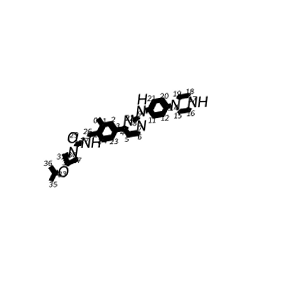 Cc1cc(-c2ccnc(Nc3ccc(N4CCNCC4)cc3)n2)ccc1CNC(=O)N1CC(OC(C)C)C1